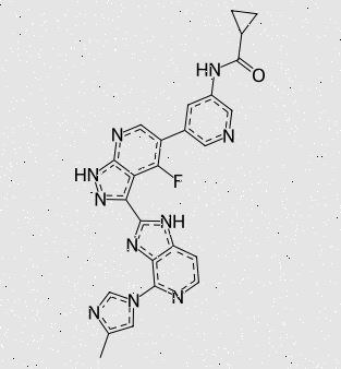 Cc1cn(-c2nccc3[nH]c(-c4n[nH]c5ncc(-c6cncc(NC(=O)C7CC7)c6)c(F)c45)nc23)cn1